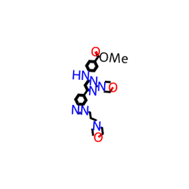 COC(=O)c1ccc(Nc2cc(-c3ccc4ncn(CCCN5CCOCC5)c4c3)nc(N3CCOCC3)n2)cc1